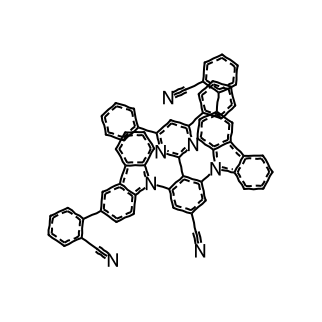 N#Cc1cc(-n2c3ccccc3c3cc(-c4ccccc4C#N)ccc32)c(-c2nc(-c3ccccc3)cc(-c3ccccc3)n2)c(-n2c3ccccc3c3cc(-c4ccccc4C#N)ccc32)c1